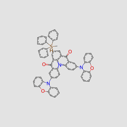 C[SH](c1ccccc1)(c1ccccc1)(c1ccccc1)c1cc2c(=O)c3cc(N4c5ccccc5Oc5ccccc54)ccc3n3c4ccc(N5c6ccccc6Oc6ccccc65)cc4c(=O)c(c1)c23